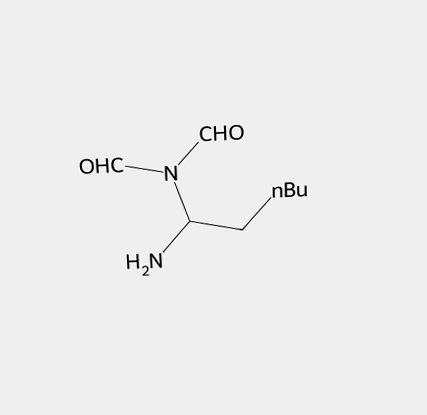 CCCCCC(N)N(C=O)C=O